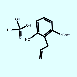 C=CCc1c(O)cccc1CCCCC.O=P(O)(O)O